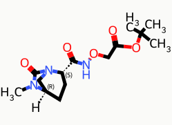 CN1C(=O)N2C[C@H]1CC[C@H]2C(=O)NOCC(=O)OC(C)(C)C